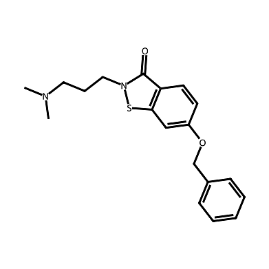 CN(C)CCCn1sc2cc(OCc3ccccc3)ccc2c1=O